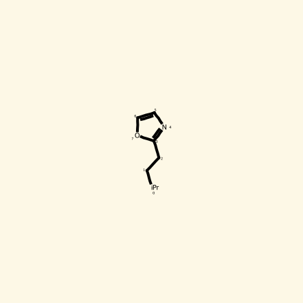 CC(C)CCc1n[c]co1